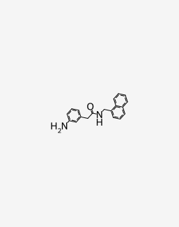 Nc1cccc(CC(=O)NCc2cccc3ccccc23)c1